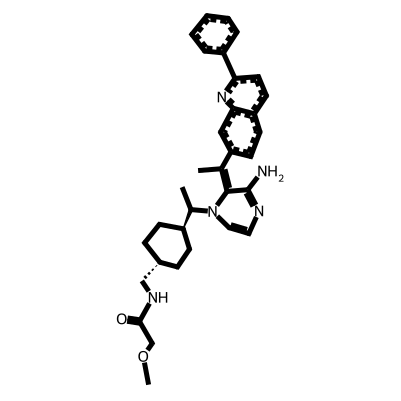 COCC(=O)NC[C@H]1CC[C@H](C(C)N2C=CN=C(N)/C2=C(/C)c2ccc3ccc(-c4ccccc4)nc3c2)CC1